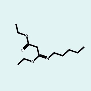 CCCCC/N=C(\CC(=O)OCC)OCC